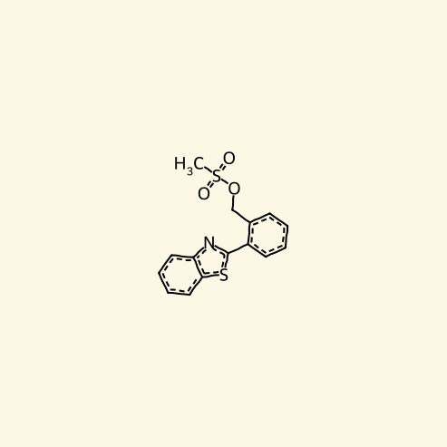 CS(=O)(=O)OCc1ccccc1-c1nc2ccccc2s1